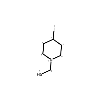 SCN1CCC(I)CC1